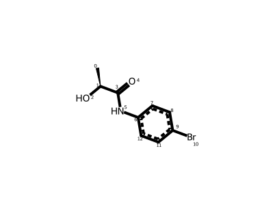 C[C@H](O)C(=O)Nc1ccc(Br)cc1